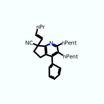 CCCC=CC1(C#N)CCc2c1nc(CCCCC)c(CCCCC)c2-c1ccccc1